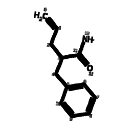 C=CCC(Cc1ccccc1)C([NH])=O